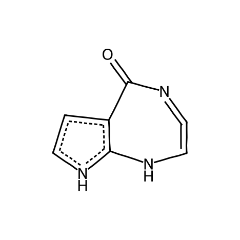 O=C1N=C=CNc2[nH]ccc21